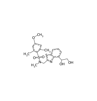 COc1cc(C)c(S(=O)(=O)N(C)Cc2nc3c(C(O)CO)cccc3s2)c(C)c1